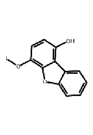 Oc1ccc(OI)c2oc3ccccc3c12